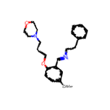 COc1ccc(OCCCN2CCOCC2)c(C=NCCc2ccccc2)c1